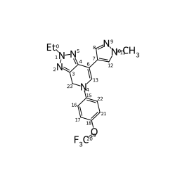 CCn1nc2c(n1)C(c1cnn(C)c1)=CN(c1ccc(OC(F)(F)F)cc1)C2